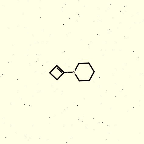 C1=C(N2CCCCC2)CC1